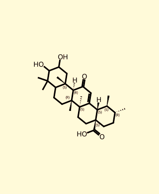 C[C@H]1[C@H](C)CC[C@]2(C(=O)O)CC[C@]3(C)C(=CC(=O)[C@@H]4[C@@]5(C)CC(O)C(O)C(C)(C)C5CC[C@]43C)[C@H]12